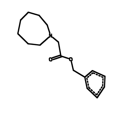 O=C(CN1CCCCCCC1)OCc1ccccc1